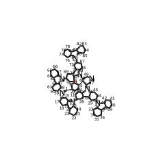 N#Cc1ccc(-c2c(-n3c4ccc(-n5c6ccccc6c6ccccc65)cc4c4cc(-n5c6ccccc6c6ccccc65)ccc43)cncc2-n2c3ccc(-n4c5ccccc5c5ccccc54)cc3c3cc(-n4c5ccccc5c5ccccc54)ccc32)cc1